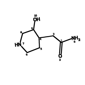 NC(=O)CC1CCNCC1O